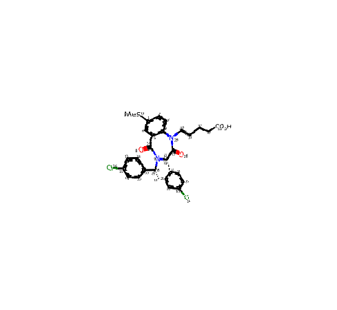 CSc1ccc2c(c1)C(=O)N([C@H](C)c1ccc(Cl)cc1)[C@@H](c1ccc(Cl)cc1)C(=O)N2CCCCC(=O)O